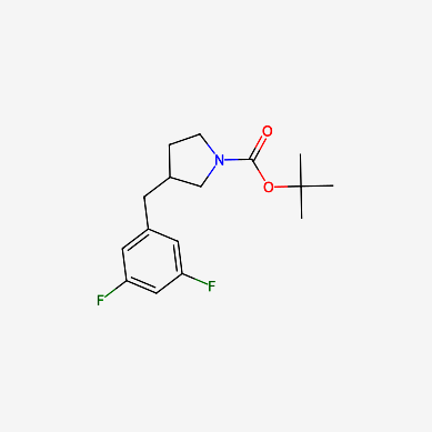 CC(C)(C)OC(=O)N1CCC(Cc2cc(F)cc(F)c2)C1